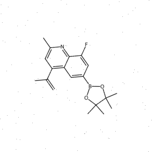 C=C(C)c1cc(C)nc2c(F)cc(B3OC(C)(C)C(C)(C)O3)cc12